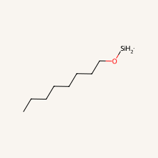 CCCCCCCCO[SiH2]